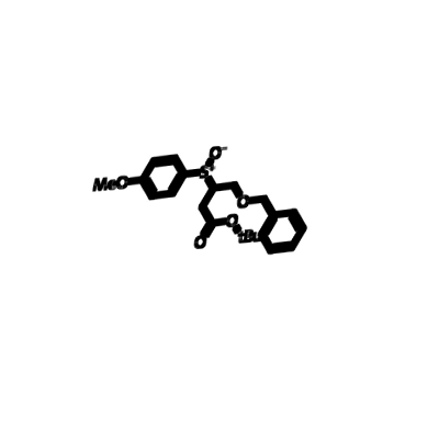 COc1ccc([S+]([O-])C(COCc2ccccc2)CC(=O)OC(C)(C)C)cc1